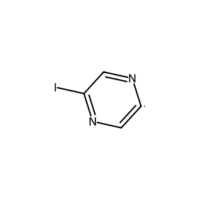 Ic1cn[c]cn1